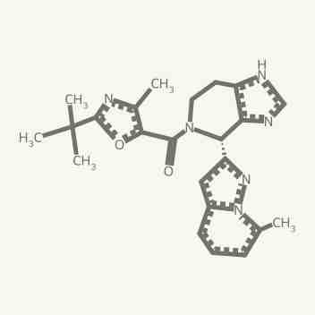 Cc1nc(C(C)(C)C)oc1C(=O)N1CCc2[nH]cnc2[C@@H]1c1cc2cccc(C)n2n1